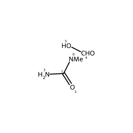 CNC(N)=O.O=CO